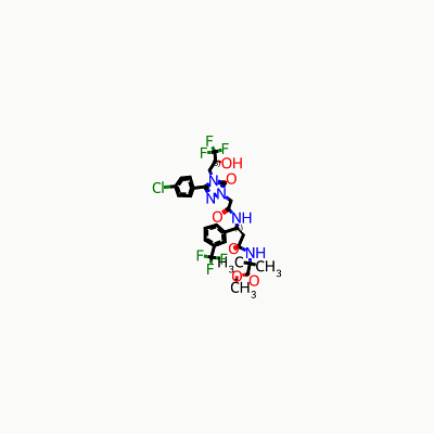 COC(=O)C(C)(C)NC(=O)C[C@H](NC(=O)Cn1nc(-c2ccc(Cl)cc2)n(C[C@H](O)C(F)(F)F)c1=O)c1cccc(C(F)(F)F)c1